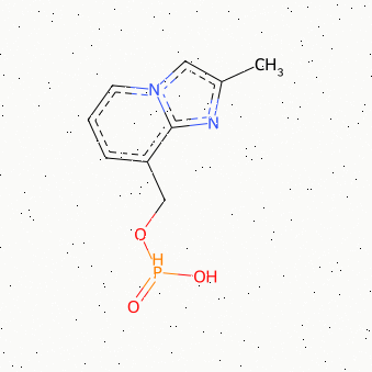 Cc1cn2cccc(CO[PH](=O)O)c2n1